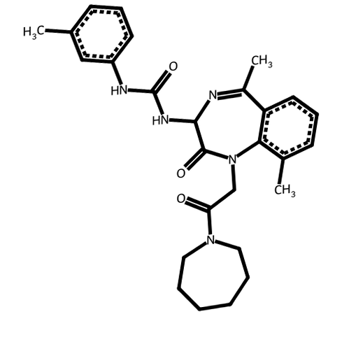 CC1=NC(NC(=O)Nc2cccc(C)c2)C(=O)N(CC(=O)N2CCCCCC2)c2c(C)cccc21